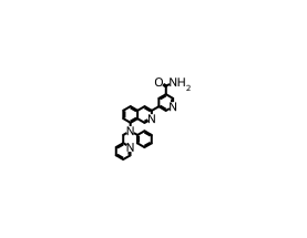 NC(=O)c1cncc(-c2cc3cccc(N(Cc4ccccn4)c4ccccc4)c3cn2)c1